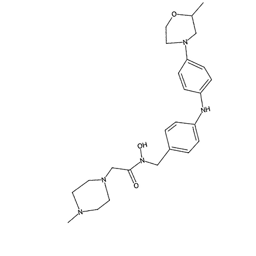 CC1CN(c2ccc(Nc3ccc(CN(O)C(=O)CN4CCN(C)CC4)cc3)cc2)CCO1